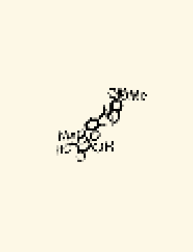 COc1cc2c(cc1OC)[C@@H]1Cc3ccc(OC)c(OC4OC(CO)C5OC5C4O)c3CN1CC2